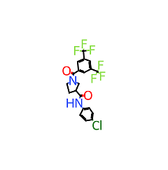 O=C(Nc1ccc(Cl)cc1)C1CCN(C(=O)c2cc(C(F)(F)F)cc(C(F)(F)F)c2)C1